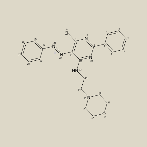 Clc1nc(-c2ccccc2)nc(NCCN2CCOCC2)c1/N=N/c1ccccc1